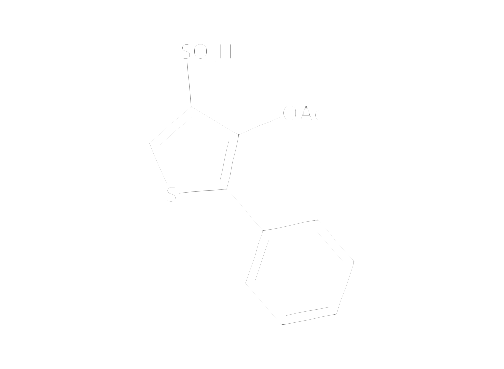 CC(=O)Oc1c(S(=O)(=O)O)csc1-c1ccccc1